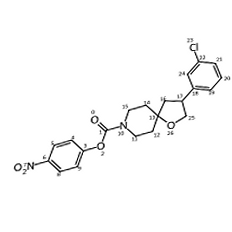 O=C(Oc1ccc([N+](=O)[O-])cc1)N1CCC2(CC1)CC(c1cccc(Cl)c1)CO2